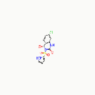 O=c1[nH]c2cc(Cl)ccc2c(=O)n1S(=O)(=O)c1ccc[nH]1